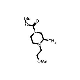 COCCN1CCN(C(=O)OC(C)(C)C)CC1C